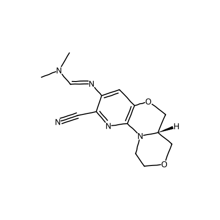 CN(C)/C=N/c1cc2c(nc1C#N)N1CCOC[C@H]1CO2